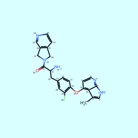 Cc1c[nH]c2nccc(Oc3ccc(CC(N)C(=O)N4Cc5ccncc5C4)cc3F)c12